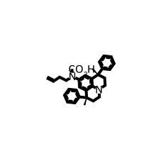 C=CCCN(C(=O)O)c1cc2c3c(c1)[C@@](C)(c1ccccc1)CCN3CC[C@@]2(C)c1ccccc1